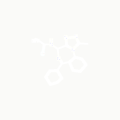 CCCC(=O)NC1N=C(c2ccccc2)c2ccccc2-n2c(C)nnc21